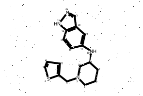 c1csc(CN2CCC[C@H](Nc3ccc4[nH]ncc4c3)C2)c1